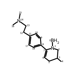 BN1CC(C)CC=C1c1ccc(CCN(C)C)cc1